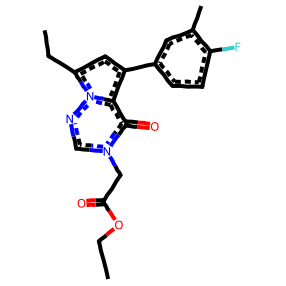 CCOC(=O)Cn1cnn2c(CC)cc(-c3ccc(F)c(C)c3)c2c1=O